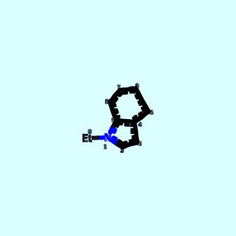 CCn1c[c]c2ccccc21